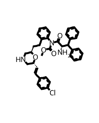 COC(=O)N(C(=O)[C@@H](N)C(c1ccccc1)c1ccccc1)c1ccccc1CC[C@@H]1CNC[C@@H](/C=C/c2ccc(Cl)cc2)O1